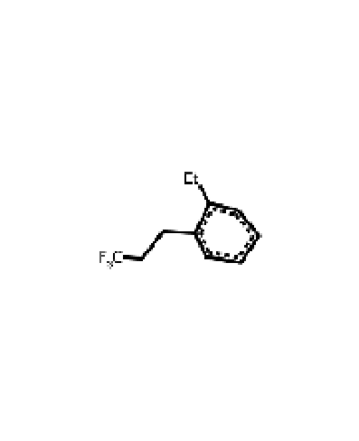 CCc1ccccc1CCC(F)(F)F